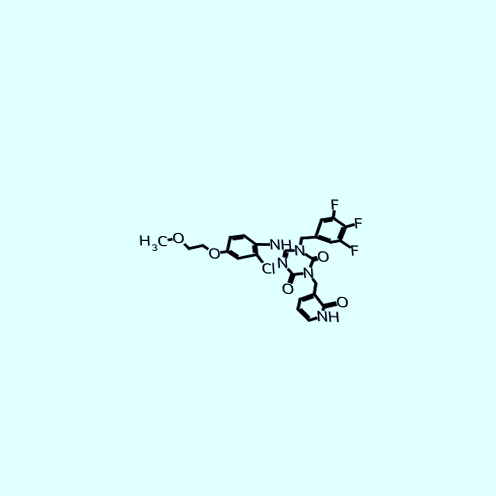 COCCOc1ccc(Nc2nc(=O)n(Cc3ccc[nH]c3=O)c(=O)n2Cc2cc(F)c(F)c(F)c2)c(Cl)c1